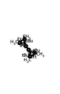 CCC1c2cc(C)cc(C(C)C)c2OP(c2ccc(-c3ccc(P4Oc5c(cc(C)cc5C(C)(C)C)C(CC)c5cc(C)cc(C(C)(C)C)c5O4)cc3)cc2)Oc2c1cc(C)cc2C(C)(C)C